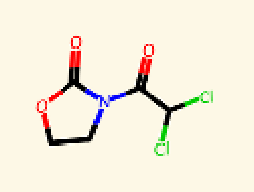 O=C1OCCN1C(=O)C(Cl)Cl